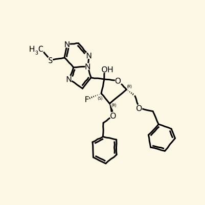 CSc1ncnn2c(C3(O)O[C@H](COCc4ccccc4)[C@@H](OCc4ccccc4)[C@@H]3F)cnc12